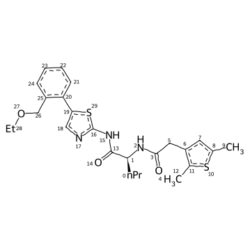 CCC[C@H](NC(=O)Cc1cc(C)sc1C)C(=O)Nc1ncc(-c2ccccc2COCC)s1